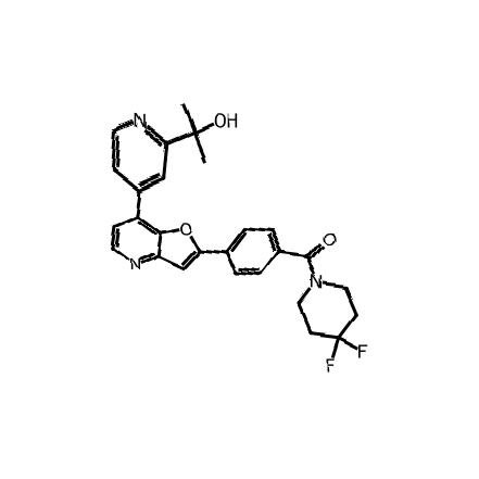 CC(C)(O)c1cc(-c2ccnc3cc(-c4ccc(C(=O)N5CCC(F)(F)CC5)cc4)oc23)ccn1